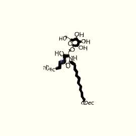 CCCCCCCCCCC/C=C/[C@@H](O)[C@H](CO[C@@H]1O[C@H](CO)[C@H](O)C(O)C1O)NC(=O)CCCCCCCCCCCCCCCCCCCCC